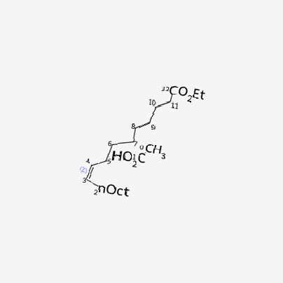 CC(=O)O.CCCCCCCC/C=C\CCCCCCCC(=O)OCC